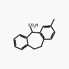 Cc1ccc2c(c1)C(C(=O)O)c1ccccc1CC2